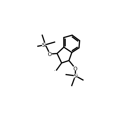 [CH2]C1C(O[Si](C)(C)C)c2ccccc2C1O[Si](C)(C)C